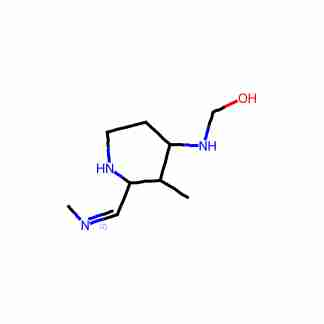 C/N=C\C1NCCC(NCO)C1C